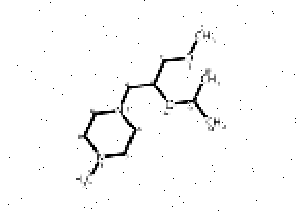 COCC(CN1CCN(C)CC1)OC(C)C